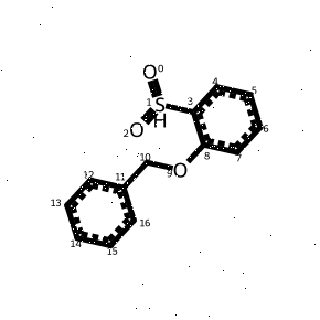 O=[SH](=O)c1ccccc1OCc1ccccc1